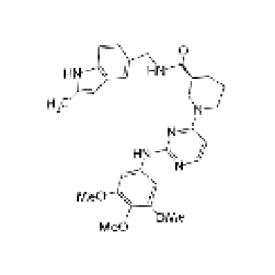 COc1cc(Nc2nccc(N3CCC[C@H](C(=O)NCc4ccc5[nH]c(C)cc5c4)C3)n2)cc(OC)c1OC